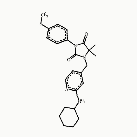 CC1(C)C(=O)N(c2ccc(SC(F)(F)F)cc2)C(=O)N1Cc1ccnc(NC2CCCCC2)c1